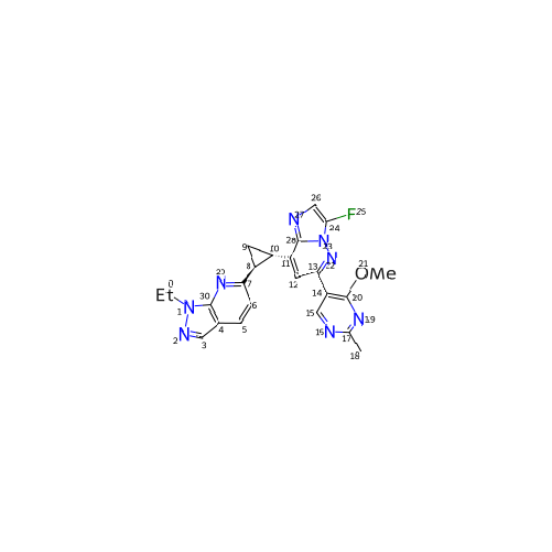 CCn1ncc2ccc([C@H]3C[C@@H]3c3cc(-c4cnc(C)nc4OC)nn4c(F)cnc34)nc21